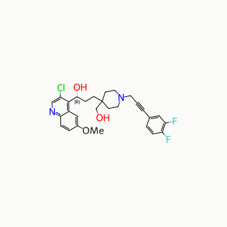 COc1ccc2ncc(Cl)c([C@H](O)CCC3(CO)CCN(CC#Cc4ccc(F)c(F)c4)CC3)c2c1